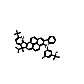 Cc1cc(-n2c3ccccc3c3cc4ccc5c6c(cc7ccc(c4c75)c32)C(C)(C(C)C)c2ccc(C(C)(C)C)nc2-6)cc(C(F)(F)F)c1